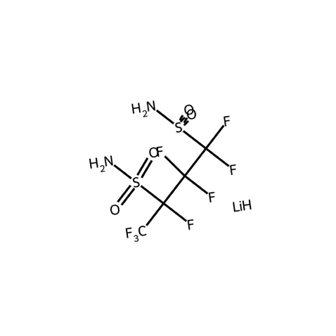 NS(=O)(=O)C(F)(F)C(F)(F)C(F)(C(F)(F)F)S(N)(=O)=O.[LiH]